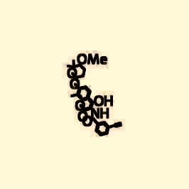 C#Cc1cccc(C(=O)Nc2c(O)c3ccc(O[C@H]4CC[C@@H](OC)C(C)(C)O4)c(C)c3oc2=O)c1